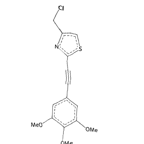 COc1cc(C#Cc2nc(CCl)cs2)cc(OC)c1OC